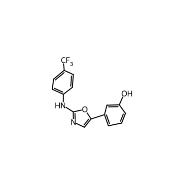 Oc1cccc(-c2cnc(Nc3ccc(C(F)(F)F)cc3)o2)c1